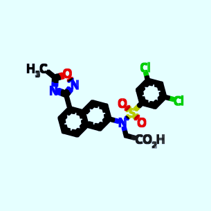 Cc1nc(-c2cccc3cc(N(CC(=O)O)S(=O)(=O)c4cc(Cl)cc(Cl)c4)ccc23)no1